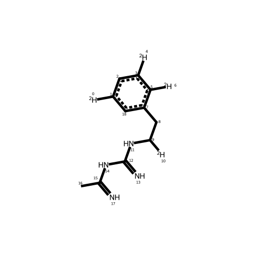 [2H]c1cc([2H])c([2H])c(CC([2H])NC(=N)NC(C)=N)c1